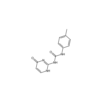 Cc1ccc(NC(=O)Nc2nc(=O)cc[nH]2)cc1